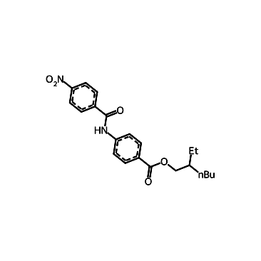 CCCCC(CC)COC(=O)c1ccc(NC(=O)c2ccc([N+](=O)[O-])cc2)cc1